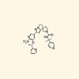 C[C@@H](Oc1cc(-c2cc3n(n2)CCC32CCN(C(=O)NC(C)(C)c3ccncc3)C2)cnc1N)c1ccccn1